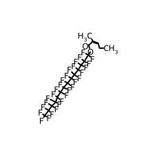 CCC=C(C)C(=O)OC(F)(F)C(F)(F)C(F)(F)C(F)(F)C(F)(F)C(F)(F)C(F)(F)C(F)(F)C(F)(F)C(F)(F)C(F)(F)C(F)(F)C(F)(F)C(F)(F)F